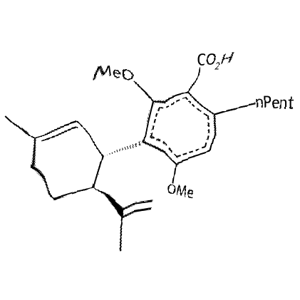 C=C(C)[C@H]1CCC(C)=C[C@@H]1c1c(OC)cc(CCCCC)c(C(=O)O)c1OC